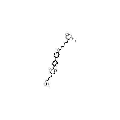 CCCCCC1COC(c2ccc(-c3ccc(OCCCCCC(C)CC)cc3)cc2)OC1